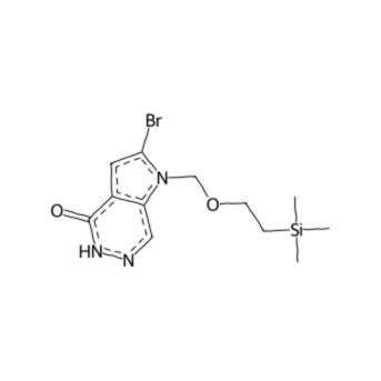 C[Si](C)(C)CCOCn1c(Br)cc2c(=O)[nH]ncc21